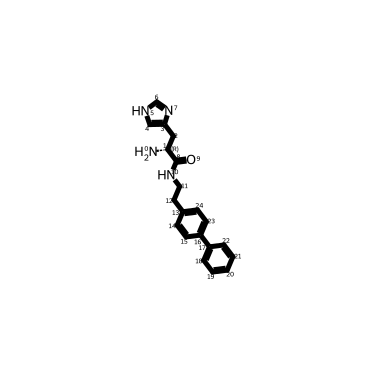 N[C@H](Cc1c[nH]cn1)C(=O)NCCc1ccc(-c2ccccc2)cc1